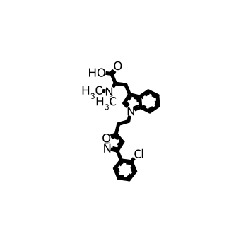 CN(C)C(Cc1cn(CCc2cc(-c3ccccc3Cl)no2)c2ccccc12)C(=O)O